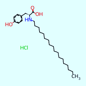 CCCCCCCCCCCCCCCCCCN[C@@H](Cc1ccc(O)cc1)C(=O)O.Cl